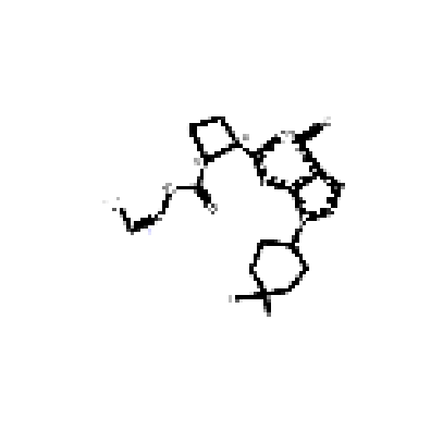 C/C=N\NC(=O)[C@H]1CC[C@H]1c1nc2c(cnn2C2CCC(F)(F)CC2)c(=O)[nH]1